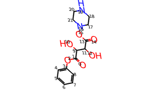 O=C(Oc1ccccc1)C(O)C(O)C(=O)ON1CCNCC1